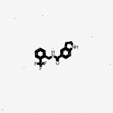 O=C(NCc1ccccc1C(F)(F)F)c1ccc2c(c1)CCN2